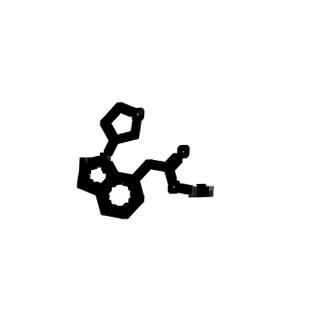 CCCCOC(=O)Cc1cccc2cnn(C3CCOC3)c12